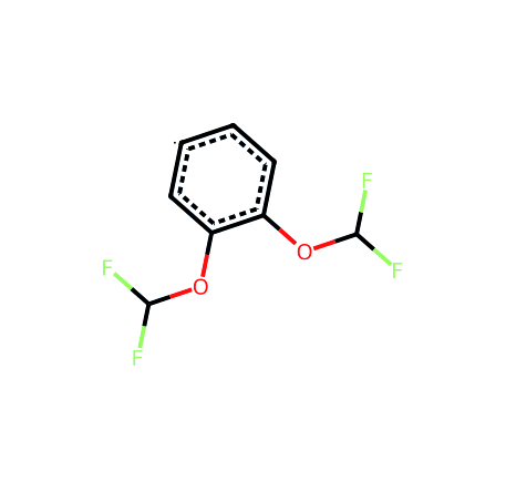 FC(F)Oc1c[c]ccc1OC(F)F